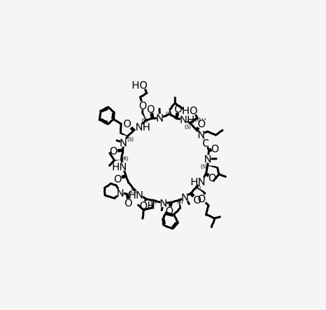 CCCN1CC(=O)N(C)[C@@H](CC(C)C)C(=O)N[C@@H](COCCC(C)C)C(=O)N(C)[C@@H](Cc2ccccc2)C(=O)N(C)[C@@H](CC(C)C)C(O)N[C@H](C(=O)N2CCCCC2)CC(=O)N[C@H](C(C)C)C(=O)N(C)[C@@H](CCc2ccccc2)C(=O)N[C@@H](COCCO)C(=O)N(C)[C@@H](CC(C)C)C(=O)N[C@@H]([C@@H](C)O)C1=O